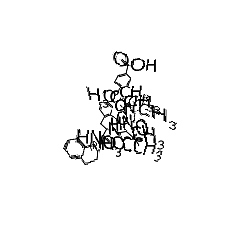 CC(C(=O)NC(C(=O)N1Cc2cc(OCc3ccc(C(=O)O)cc3)ccc2CC1C(=O)N[C@@H]1CCCc2ccccc21)C(C)(C)C)N(C)C(=O)OC(C)(C)C